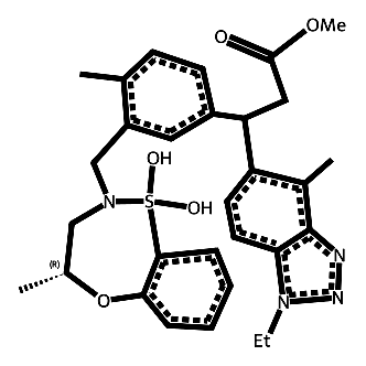 CCn1nnc2c(C)c(C(CC(=O)OC)c3ccc(C)c(CN4C[C@@H](C)Oc5ccccc5S4(O)O)c3)ccc21